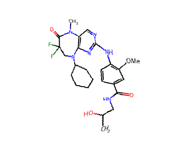 COc1cc(C(=O)NCC(C)O)ccc1Nc1ncc2c(n1)N(C1CCCCC1)CC(F)(F)C(=O)N2C